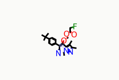 CCn1nc(C)c(C)c1/C(OCOC(=O)CF)=C(\C#N)c1ccc(C(C)(C)C)cc1